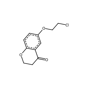 O=C1CCOc2ccc(OCCCl)cc21